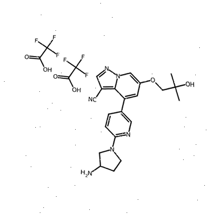 CC(C)(O)COc1cc(-c2ccc(N3CCC(N)C3)nc2)c2c(C#N)cnn2c1.O=C(O)C(F)(F)F.O=C(O)C(F)(F)F